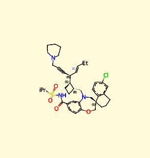 CC/C=C/[C@H](C#CCN1CCCCC1)[C@@H]1CC[C@H]1CN1C[C@@]2(CCCc3cc(Cl)ccc32)COc2ccc(C(=O)NS(=O)(=O)C(C)C)cc21